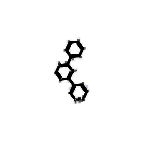 C/C=C\C(=C/C)c1ncnc(-c2ccccc2)n1